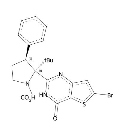 CC(C)(C)[C@@]1(c2nc3cc(Br)sc3c(=O)[nH]2)[C@H](c2ccccc2)CCN1C(=O)O